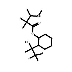 CC(NI)C(C)(I)C(=O)OC1CCCCC1C(C)(O)C(F)(F)F